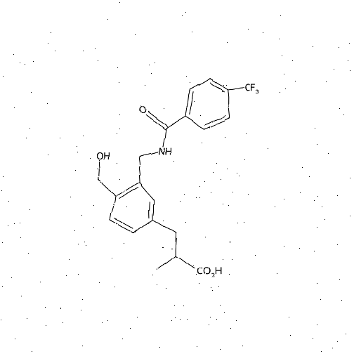 CC(Cc1ccc(CO)c(CNC(=O)c2ccc(C(F)(F)F)cc2)c1)C(=O)O